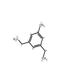 CCc1[c]c(C)cc(CC)[c]1